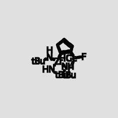 CC(C)(C)[NH][Zr]([NH]C(C)(C)C)([NH]C(C)(C)C)[C]1=[C]([GeH]([F])[F])C=CC1